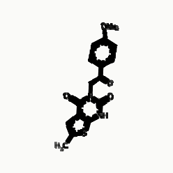 COc1ccc(C(=O)Cn2c(=O)[nH]c3sc(C)cc3c2=O)cc1